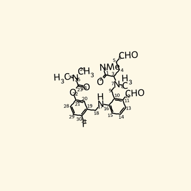 CNC(=O)C(CCC=O)N(C)Cc1c(C=O)cccc1NCc1cc(OC(=O)N(C)C)ccc1F